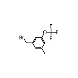 Cc1cc(CBr)cc(OC(F)(F)F)c1